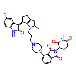 Cc1cc2c(n1CCCN1CCN(c3cccc4c3C(=O)N(C3CCC(=O)NC3=O)C4=O)CC1)/C(=C1\C(=O)Nc3ccc(F)cc31)CC2